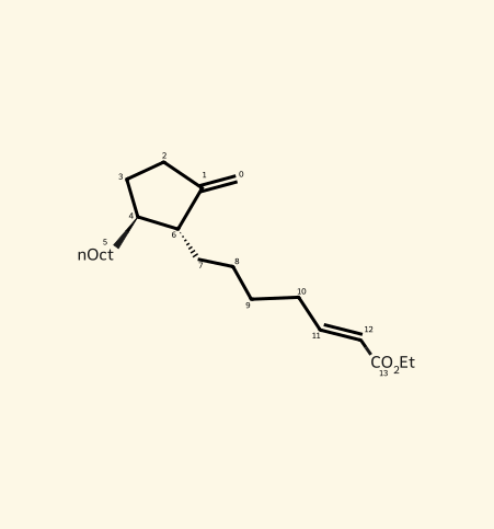 C=C1CC[C@H](CCCCCCCC)[C@H]1CCCCC=CC(=O)OCC